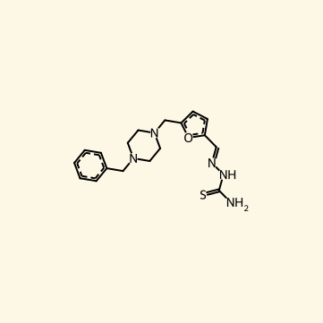 NC(=S)NN=Cc1ccc(CN2CCN(Cc3ccccc3)CC2)o1